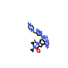 CCn1c(C(=O)N(C2CC2)C2CC2)cc2c3c(ncn3C)c(Nc3cc(CN4CCN(C)CC4)n(C)n3)cc21